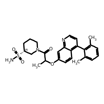 Cc1cccc(C)c1-c1ccnc2cc(OC(C)C(=O)N3CCC[C@@H](S(N)(=O)=O)C3)ccc12